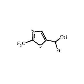 CC[C](O)c1cnc(C(F)(F)F)s1